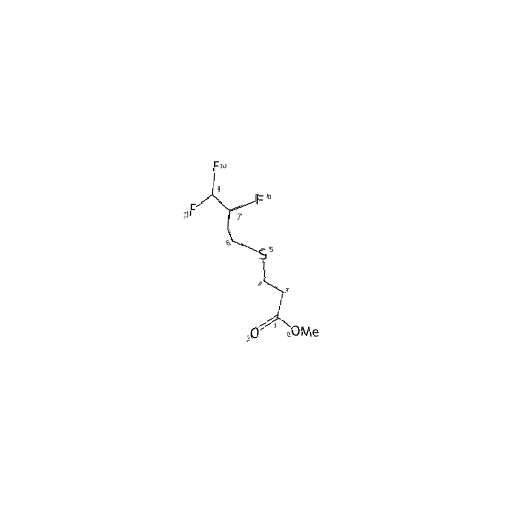 COC(=O)CCSCC(F)C(F)F